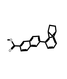 COC(=O)c1ccc2cc(-c3cccc4c3C3CCC4C3)ccc2c1